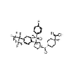 O=C([C@H]1CC[C@@](F)(C(=O)O)CC1)N1CC[C@](c2ccc(C(F)(C(F)(F)F)C(F)(F)F)cc2)(S(=O)(=O)c2ccc(F)cc2)C1